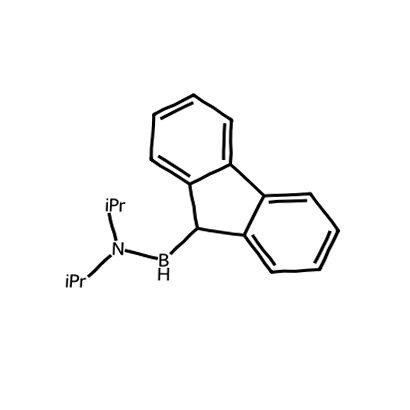 CC(C)N(BC1c2ccccc2-c2ccccc21)C(C)C